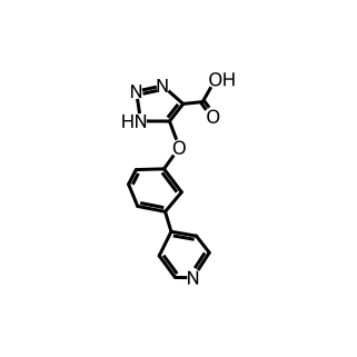 O=C(O)c1nn[nH]c1Oc1cccc(-c2ccncc2)c1